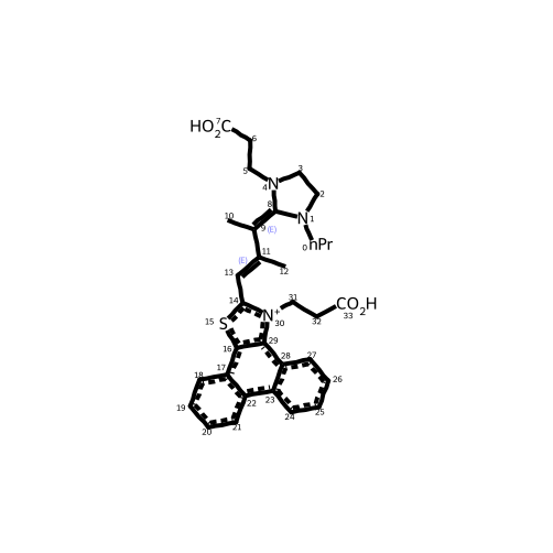 CCCN1CCN(CCC(=O)O)/C1=C(C)/C(C)=C/c1sc2c3ccccc3c3ccccc3c2[n+]1CCC(=O)O